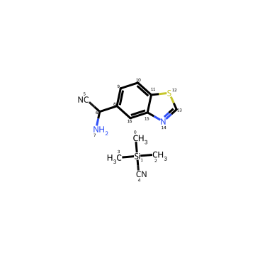 C[Si](C)(C)C#N.N#CC(N)c1ccc2scnc2c1